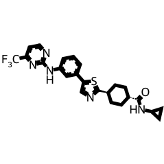 O=C(NC1CC1)[C@H]1CC[C@H](c2ncc(-c3cccc(Nc4nccc(C(F)(F)F)n4)c3)s2)CC1